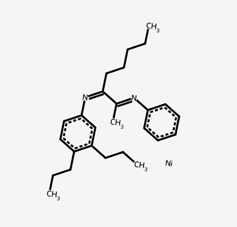 CCCCCC(=Nc1ccc(CCC)c(CCC)c1)C(C)=Nc1ccccc1.[Ni]